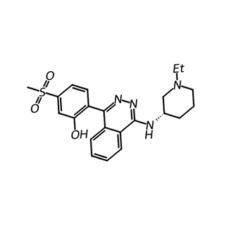 CCN1CCC[C@H](Nc2nnc(-c3ccc(S(C)(=O)=O)cc3O)c3ccccc23)C1